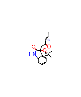 C/C=C/C(=O)CC1(O[Si](C)(C)C)C(=O)Nc2ccccc21